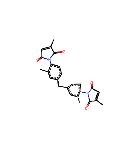 CC1=CC(=O)N(c2ccc(Cc3ccc(N4C(=O)C=C(C)C4=O)c(C)c3)cc2C)C1=O